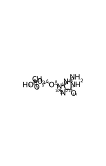 CP(=O)(O)OCCOCn1cnc2c(=O)[nH]c(N)nc21